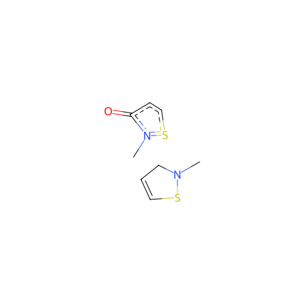 CN1CC=CS1.Cn1sccc1=O